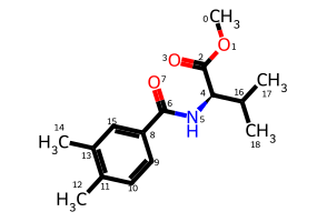 COC(=O)[C@H](NC(=O)c1ccc(C)c(C)c1)C(C)C